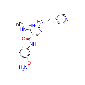 CCCNC1NC(NCCc2ccncc2)=NC=C1C(=O)Nc1cccc(ON)c1